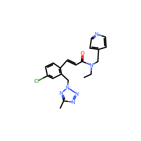 CCN(Cc1ccncc1)C(=O)C=Cc1ccc(Cl)cc1Cn1nnc(C)n1